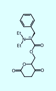 CCN(CC)[C@@H](Cc1ccccc1)C(=O)OC[C]1OC(=O)CCC1=O